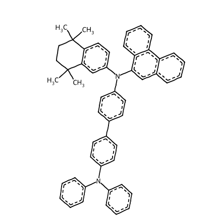 CC1(C)CCC(C)(C)c2cc(N(c3ccc(-c4ccc(N(c5ccccc5)c5ccccc5)cc4)cc3)c3cc4ccccc4c4ccccc34)ccc21